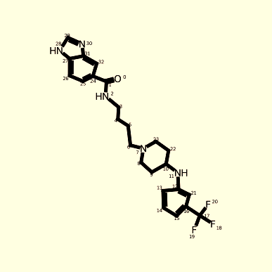 O=C(NCCCCN1CCC(Nc2cccc(C(F)(F)F)c2)CC1)c1ccc2[nH]cnc2c1